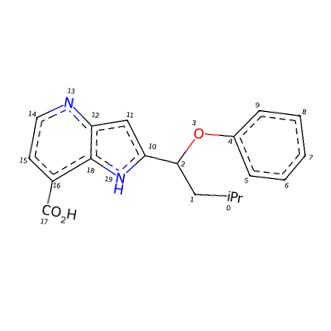 CC(C)CC(Oc1ccccc1)c1cc2nccc(C(=O)O)c2[nH]1